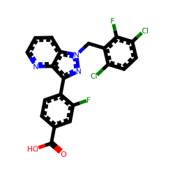 O=C(O)c1ccc(-c2nn(Cc3c(Cl)ccc(Cl)c3F)c3cccnc23)c(F)c1